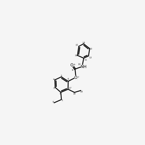 CCc1cccc(OC(=O)Nc2ccccc2)c1CC